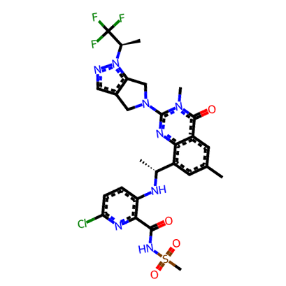 Cc1cc([C@@H](C)Nc2ccc(Cl)nc2C(=O)NS(C)(=O)=O)c2nc(N3Cc4cnn([C@H](C)C(F)(F)F)c4C3)n(C)c(=O)c2c1